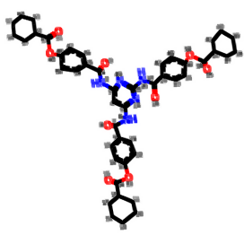 O=C(Nc1cc(NC(=O)c2ccc(OC(=O)C3CCCCC3)cc2)nc(NC(=O)c2ccc(OC(=O)C3CCCCC3)cc2)n1)c1ccc(OC(=O)C2CCCCC2)cc1